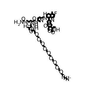 CC[C@@]1(O)C(=O)OCc2c1cc1n(c2=O)Cc2c-1nc1cc(F)c(C)c3c1c2[C@@H](NCc1ccc(NC(=O)C(CCCNC(N)=O)NC(=O)C(NC(=O)CCOCCOCCOCCOCCOCCOCCOCCOCCOCCN=[N+]=[N-])C(C)C)cn1)CC3